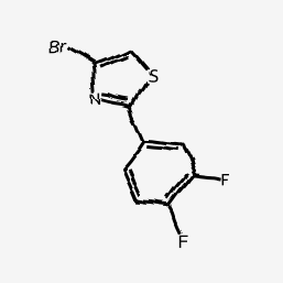 Fc1ccc(-c2nc(Br)cs2)cc1F